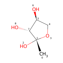 C[C@]1(O)OC[C@H](O)[C@H]1O